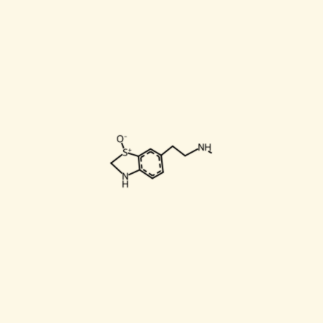 CNCCc1ccc2c(c1)[S+]([O-])CN2